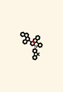 CC1(C)c2ccccc2-c2ccc(N(c3ccc(-c4cc5ccc6ccccc6c5c5ccccc45)cc3)c3ccccc3-c3cccc4ccccc34)cc21